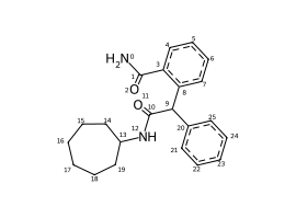 NC(=O)c1ccccc1C(C(=O)NC1CCCCCC1)c1ccccc1